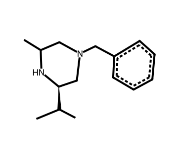 CC1CN(Cc2ccccc2)C[C@@H](C(C)C)N1